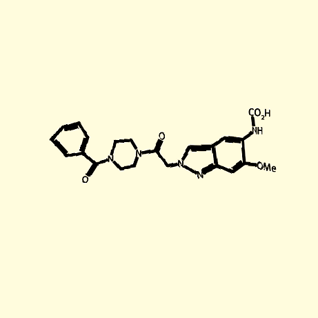 COc1cc2nn(CC(=O)N3CCN(C(=O)c4ccccc4)CC3)cc2cc1NC(=O)O